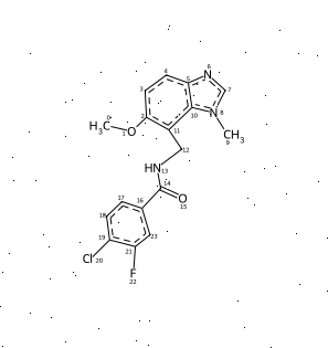 COc1ccc2ncn(C)c2c1CNC(=O)c1ccc(Cl)c(F)c1